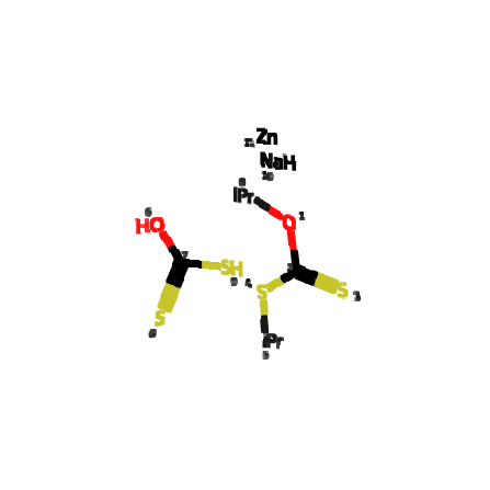 CC(C)OC(=S)SC(C)C.OC(=S)S.[NaH].[Zn]